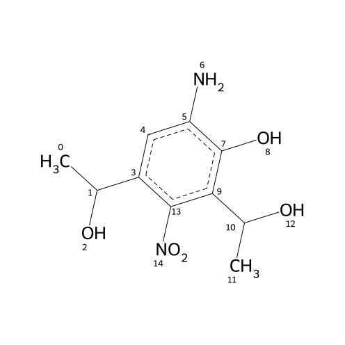 CC(O)c1cc(N)c(O)c(C(C)O)c1[N+](=O)[O-]